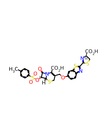 Cc1ccc(S(=O)(=O)O[C@H]2C(=O)N3C(C(=O)O)=C(COc4ccc5nc(C6=N[C@@H](C(=O)O)CS6)sc5c4)CS[C@H]23)cc1